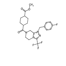 COC(=O)C1CCC(C(=O)N2CCc3c(C(F)(F)F)nn(Cc4ccc(F)cc4)c3C2)CC1